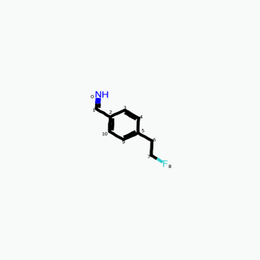 N=Cc1ccc(CCF)cc1